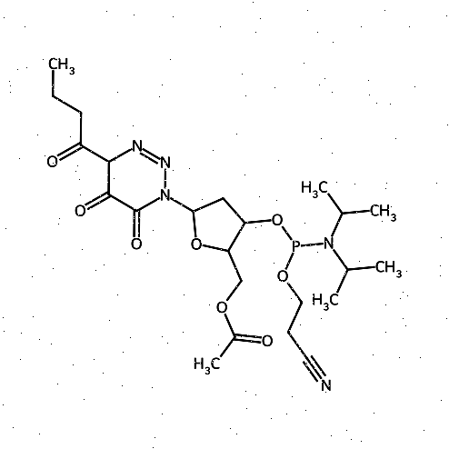 CCCC(=O)C1N=NN(C2CC(OP(OCCC#N)N(C(C)C)C(C)C)C(COC(C)=O)O2)C(=O)C1=O